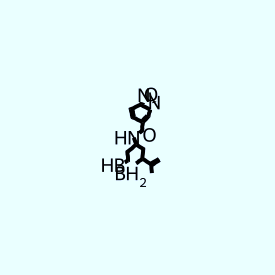 BBCCC(CC(C)C(=C)C)NC(=O)c1ccc2nonc2c1